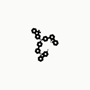 CC1(C)c2ccccc2-c2ccc(N(c3ccc(-c4cccc(-n5c6ccccc6c6ccc(F)cc65)c4)cc3)c3ccc(-c4cccc5c4oc4ccccc45)cc3)cc21